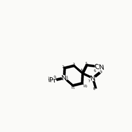 CC(C)N1CCC(CC#N)(N(C)C)CC1